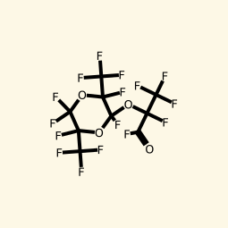 O=C(F)C(F)(OC1(F)OC(F)(C(F)(F)F)C(F)(F)OC1(F)C(F)(F)F)C(F)(F)F